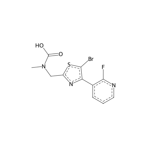 CN(Cc1nc(-c2cccnc2F)c(Br)s1)C(=O)O